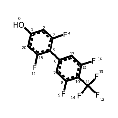 Oc1cc(F)c(-c2cc(F)c(C(F)(F)F)c(F)c2)c(F)c1